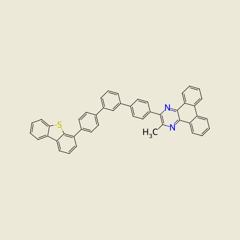 Cc1nc2c3ccccc3c3ccccc3c2nc1-c1ccc(-c2cccc(-c3ccc(-c4cccc5c4sc4ccccc45)cc3)c2)cc1